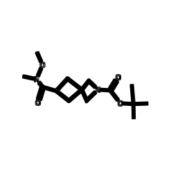 CON(C)C(=O)C1CC2(C1)CN(C(=O)OC(C)(C)C)C2